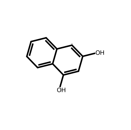 Oc1[c]c2ccccc2c(O)c1